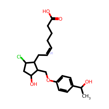 CC(O)c1ccc(OCC2C(O)CC(Cl)C2C/C=C\CCCC(=O)O)cc1